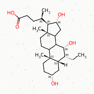 CC[C@H]1[C@@H](O)C2C3C[C@@H](O)[C@H]([C@H](C)CCC(=O)O)[C@@]3(C)CCC2[C@@]2(C)CC[C@@H](O)C[C@@H]12